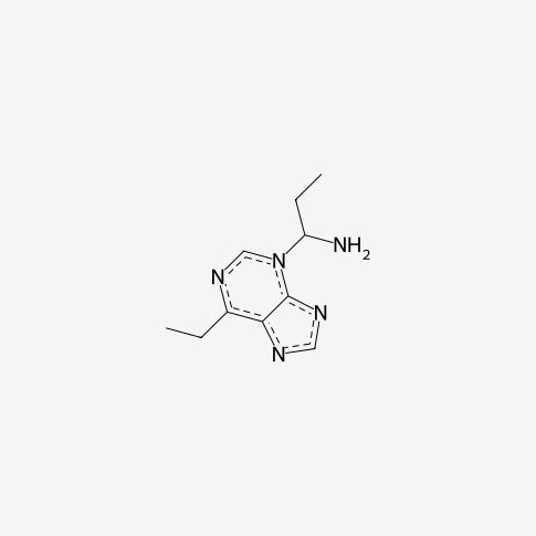 CCc1ncn(C(N)CC)c2ncnc1-2